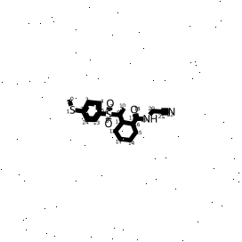 CSc1ccc(S(=O)(=O)C(C)C2CCCCC2C(=O)NCC#N)cc1